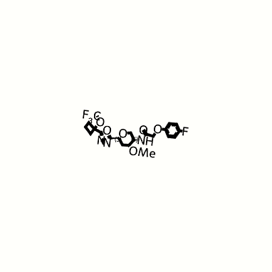 COC1C[C@@H](c2nnc(C3(OC(F)(F)F)CCC3)o2)OC[C@@H]1NC(=O)COc1ccc(F)cc1